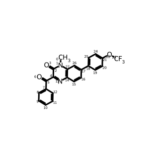 Cn1c(=O)c(C(=O)c2ccccc2)nc2ccc(-c3ccc(OC(F)(F)F)cc3)cc21